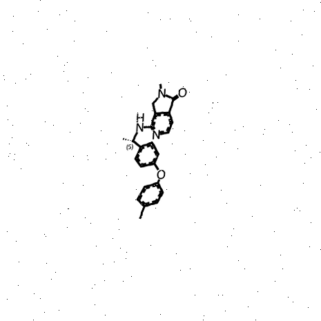 Cc1ccc(Oc2ccc([C@H](C)Nc3nccc4c3CN(C)C4=O)cc2)cc1